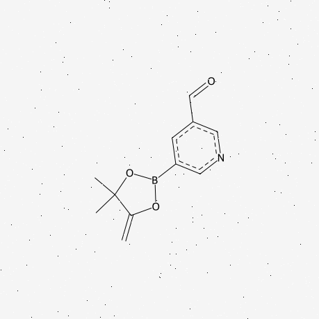 C=C1OB(c2cncc(C=O)c2)OC1(C)C